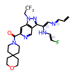 C=C/C=N/C=C(\N/C=C/F)c1nn(CC(F)(F)F)c2cc(C(=O)N3CCC4(CCOCC4)CC3)ncc12